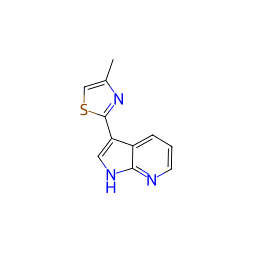 Cc1csc(-c2c[nH]c3ncccc23)n1